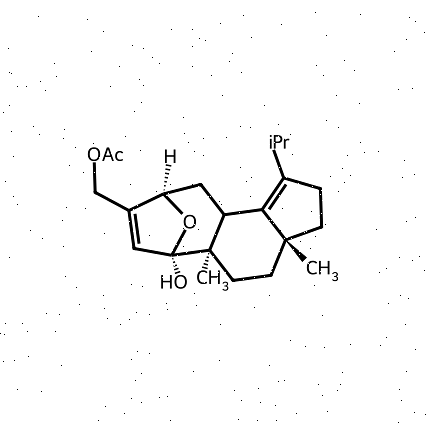 CC(=O)OCC1=C[C@@]2(O)O[C@@H]1CC1C3=C(C(C)C)CC[C@]3(C)CC[C@]12C